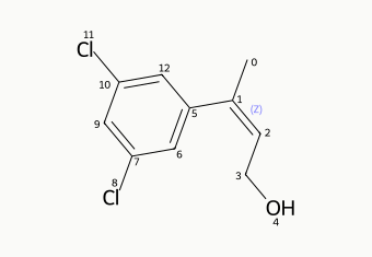 C/C(=C/CO)c1cc(Cl)cc(Cl)c1